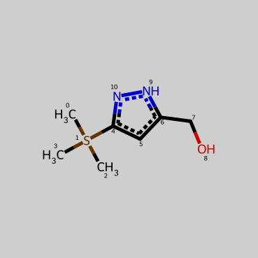 CS(C)(C)c1cc(CO)[nH]n1